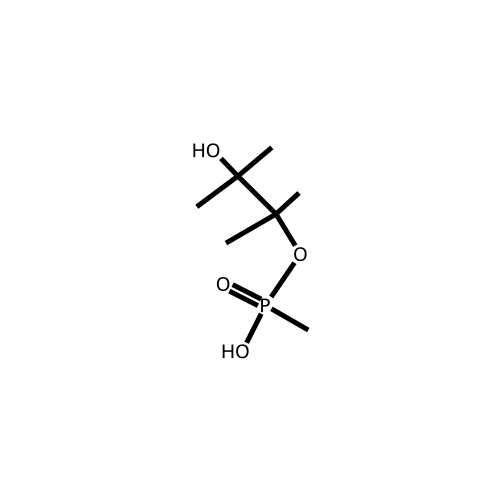 CC(C)(O)C(C)(C)OP(C)(=O)O